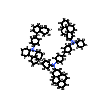 c1ccc(-c2ccccc2N(c2ccccc2)c2ccc(-c3cccc4ccccc34)cc2)cc1.c1ccc(N(c2ccc(-c3ccc(N(c4ccccc4)c4cc5ccc6cccc7ccc(c4)c5c67)cc3)cc2)c2cc3ccc4cccc5ccc(c2)c3c45)cc1